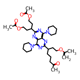 C=C(C)OCCC(CCCC(C)=O)c1nc(N2CCCCC2)c2nc(C(CCOC(C)=O)CCOC(C)=O)nc(N3CCCCC3)c2n1